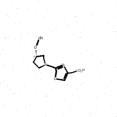 CCCO[C@H]1CCN(c2nc(C(=O)O)co2)C1